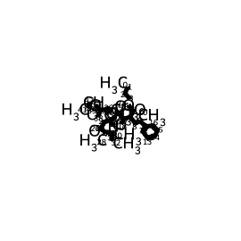 CCCCOC(=O)C(CC(C)c1ccccc1)C(ON1C(C)(CC)CC(=O)C(C)C1(C)CC)C(=O)OCC1COC(C)(C)O1